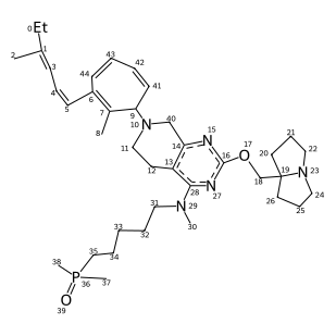 CC/C(C)=C/C=C\C1=C(C)C(N2CCc3c(nc(OCC45CCCN4CCC5)nc3N(C)CCCCCP(C)(C)=O)C2)C=CC=C1